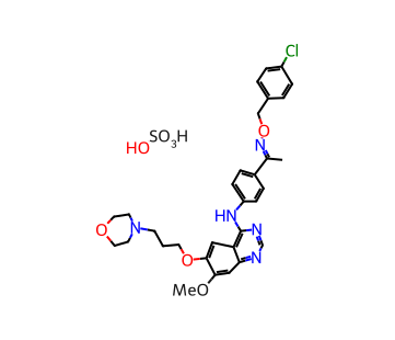 COc1cc2ncnc(Nc3ccc(C(C)=NOCc4ccc(Cl)cc4)cc3)c2cc1OCCCN1CCOCC1.O=S(=O)(O)O